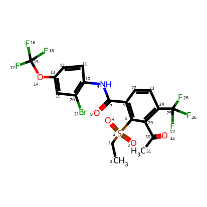 CCS(=O)(=O)c1c(C(=O)Nc2ccc(OC(F)(F)F)cc2Br)ccc(C(F)(F)F)c1C(C)=O